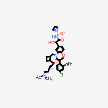 CCCc1cc(Cl)ccc1C1COc2ccc(C(O)C(=O)N[S+]([O-])N3CCC3)cc2N(CC2CCC2C(O)/C=C/CCN(C)C(C)=O)C1